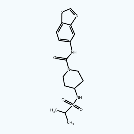 CC(C)S(=O)(=O)NC1CCN(C(=O)Nc2ccc3scnc3c2)CC1